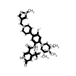 C[C@@H]1CN(c2cc(F)c(C3=CCN(Cc4cnn(C)c4)CC3)cc2NC(=O)c2c[nH]c(=O)cc2C(F)(F)F)C[C@H](C)N1C